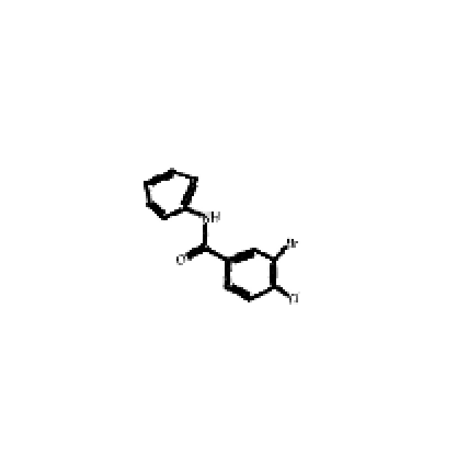 O=C(Nc1c[c]ccc1)c1ccc(Cl)c(Br)c1